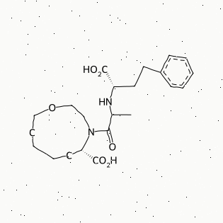 CC(N[C@@H](CCc1ccccc1)C(=O)O)C(=O)N1CCOCCCCC[C@H]1C(=O)O